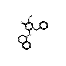 COc1cn(Cc2ccccc2)c(N[C@@H]2CCCc3ccccc32)nc1=O